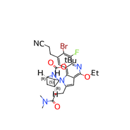 CCOc1nc2c(F)c(Br)c(CCC#N)cc2c2c1cc(CCC(=O)N(C)C)n2[C@H]1[C@@H]2C[C@H]1N(C(=O)OC(C)(C)C)C2